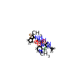 Cc1sc2c(c1NC(=O)NS(=O)(=O)N(c1cnn(C3CC3)c1F)C1CCCN(C)C1)CCC2